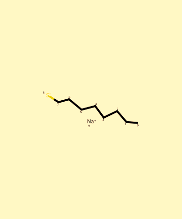 CCCCCCCC[S-].[Na+]